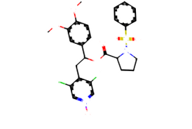 COc1ccc(C(Cc2c(Cl)c[n+]([O-])cc2Cl)OC(=O)C2CCCN2S(=O)(=O)c2ccccc2)cc1OC